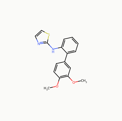 COc1ccc(-c2ccccc2Nc2nccs2)cc1OC